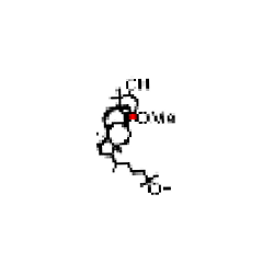 CO[C@@H]1CC23C=CC4CC1(CCC1(C)C([C@H](C)C/C=C/C(C)(C)O)CC[C@@]41C)[C@@H]2CC[C@H](O)C3(C)C